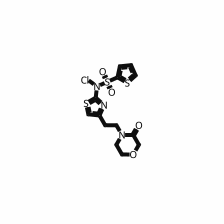 O=C1COCCN1CCc1csc(N(Cl)S(=O)(=O)c2cccs2)n1